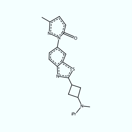 Cc1ccc(=O)n(-c2ccc3nc(C4CC(N(C)C(C)C)C4)sc3c2)n1